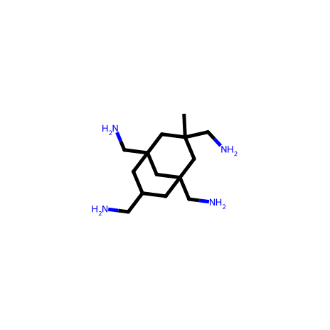 CC1(CN)CC2(CN)CC(CN)CC(CN)(C1)C2